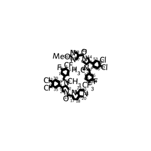 CN(Cc1ccc(C(F)(F)F)c(F)c1)C1CN(C(=O)c2ccc3cnccc3n2)CC1c1ccc(Cl)c(Cl)c1.COc1ncc(C(=O)N2CC(c3ccc(Cl)c(Cl)c3)C(N(C)Cc3ccc(C(F)(F)F)c(F)c3)C2)cn1